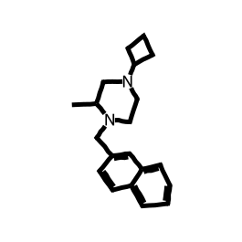 CC1CN(C2CCC2)CCN1Cc1ccc2ccccc2c1